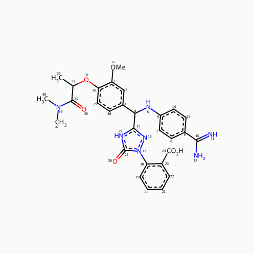 COc1cc(C(Nc2ccc(C(=N)N)cc2)c2nn(-c3ccccc3C(=O)O)c(=O)[nH]2)ccc1OC(C)C(=O)N(C)C